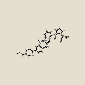 CCCN1CCC(c2ccc(Nc3cc4c(Nc5ccsc5C(N)=O)cncc4[nH]3)c(OC)c2)CC1